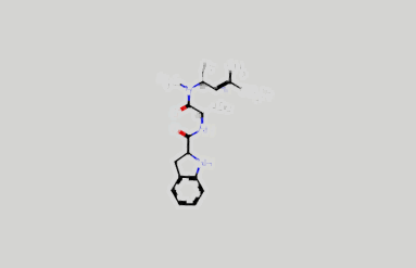 CCOC(=O)/C(C)=C/[C@H](C(C)C)N(C)C(=O)[C@@H](NC(=O)C1Cc2ccccc2N1)C(C)(C)C